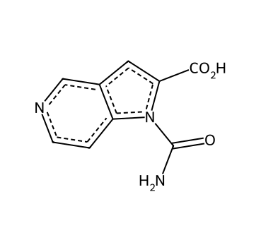 NC(=O)n1c(C(=O)O)cc2cnccc21